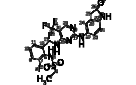 CCS(=O)(=O)Nc1c(F)cccc1CNc1nc(Nc2ccc3c(c2)CC(=O)N3)ncc1C(F)(F)F